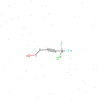 [O]CCC#CC(F)(F)Cl